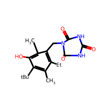 CCc1c(C)c(C(C)(C)C)c(O)c(C)c1Cn1c(=O)[nH]c(=O)[nH]c1=O